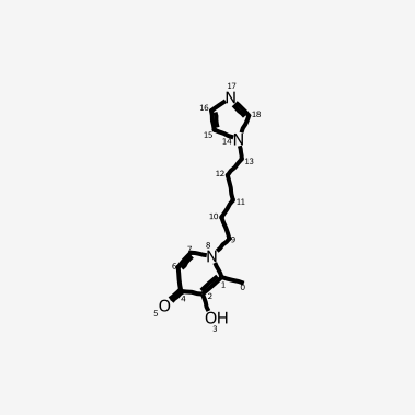 Cc1c(O)c(=O)ccn1CCCCCn1ccnc1